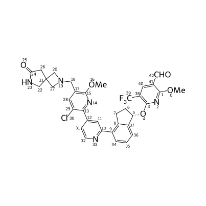 COc1nc(O[C@H]2CCc3c(-c4cc(-c5nc(OC)c(CN6CC7(CNC(=O)C7)C6)cc5Cl)ccn4)cccc32)c(C(F)(F)F)cc1C=O